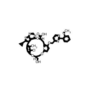 COc1ccccc1-c1nccc(COc2ccc3cc2C[C@H](C(=O)O)Oc2ncnc4sc(C5CC5)c(c24)-c2ccc(c(Cl)c2C)O[C@H](CO)CO3)n1